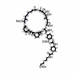 COCCOCCNC(=O)CN1CCC(NC(=O)O[C@@H]2CC[C@@H](C[C@@H](N)[C@@H]3C[C@@H](O)[C@H](C)/C=C(\C)[C@@H](O)[C@@H](O)C(=O)[C@H](C)C[C@H](C)/C=C/C=C/C=C(\C)[C@@H](OC)C[C@@H]4CC[C@@H](C)[C@@](O)(O4)C(=O)C(=O)N4CCCC[C@H]4C(=O)O3)C[C@H]2OC)CC1